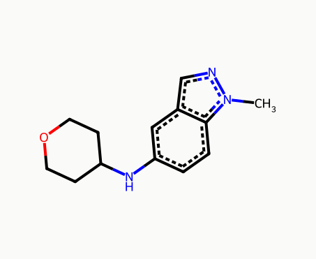 Cn1ncc2cc(NC3CCOCC3)ccc21